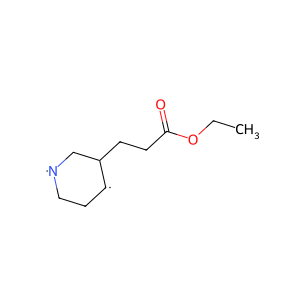 CCOC(=O)CCC1[CH]CC[N]C1